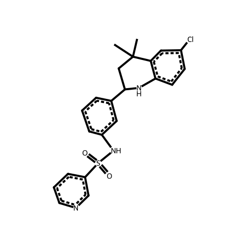 CC1(C)CC(c2cccc(NS(=O)(=O)c3cccnc3)c2)Nc2ccc(Cl)cc21